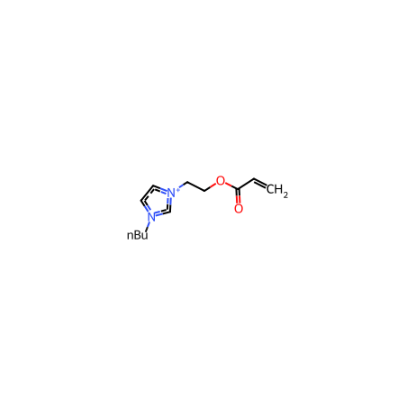 C=CC(=O)OCC[n+]1ccn(CCCC)c1